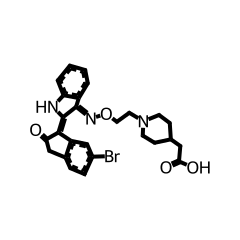 O=C(O)CC1CCN(CCO/N=C2/C(=C3/C(=O)Cc4ccc(Br)cc43)Nc3ccccc32)CC1